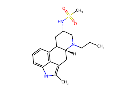 CCCN1C[C@@H](NS(C)(=O)=O)CC2c3cccc4[nH]c(C)c(c34)C[C@H]21